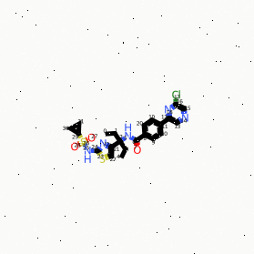 CCC(CC)(NC(=O)c1ccc(-c2cncc(Cl)n2)cc1)c1csc(NS(=O)(=O)C2CC2)n1